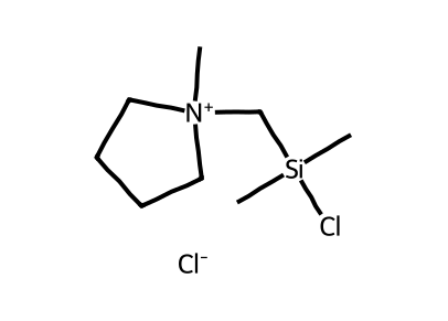 C[N+]1(C[Si](C)(C)Cl)CCCC1.[Cl-]